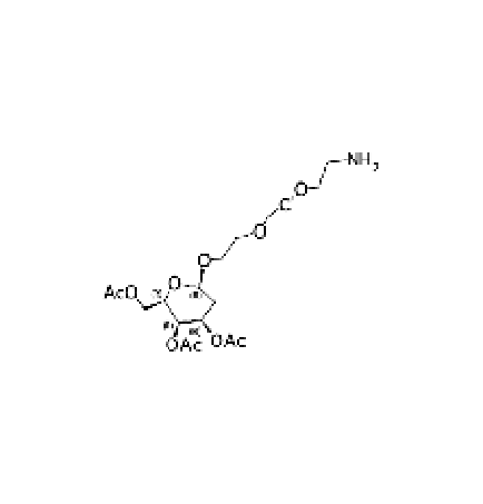 CC(=O)OC[C@H]1O[C@@H](OCCOCCOCCN)C[C@@H](OC(C)=O)[C@H]1OC(C)=O